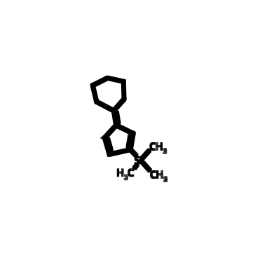 C[Si](C)(C)C1=CC(=C2CCCCC2)[C]=C1